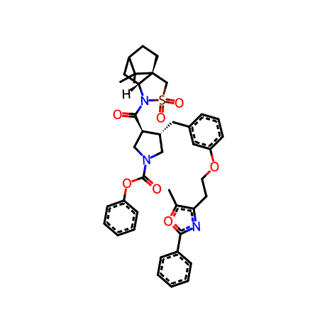 Cc1oc(-c2ccccc2)nc1CCOc1cccc(C[C@@H]2CN(C(=O)Oc3ccccc3)C[C@H]2C(=O)N2[C@@H]3CC4CC[C@]3(CS2(=O)=O)C4(C)C)c1